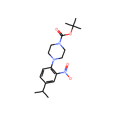 CC(C)c1ccc(N2CCN(C(=O)OC(C)(C)C)CC2)c([N+](=O)[O-])c1